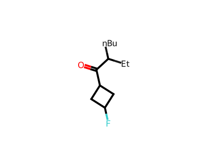 CCCCC(CC)C(=O)C1CC(F)C1